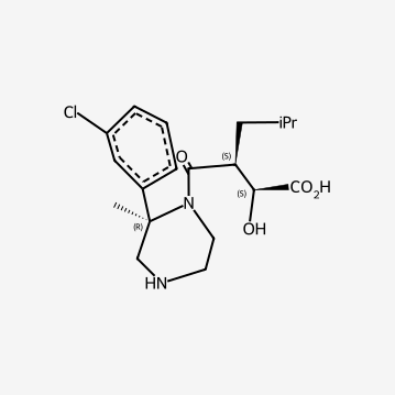 CC(C)C[C@H](C(=O)N1CCNC[C@@]1(C)c1cccc(Cl)c1)[C@H](O)C(=O)O